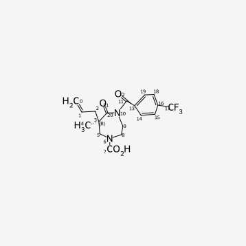 C=CC[C@]1(C)CN(C(=O)O)CCN(C(=O)c2ccc(C(F)(F)F)cc2)C1=O